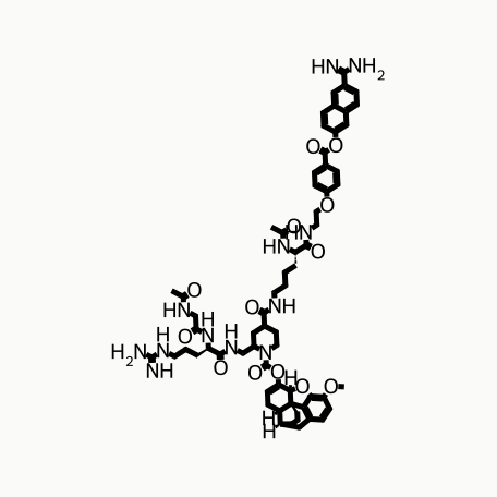 COc1ccc2c3c1O[C@H]1C(OC(=O)N4CCC(C(=O)NCCCC[C@H](NC(C)=O)C(=O)NCCOc5ccc(C(=O)Oc6ccc7cc(C(=N)N)ccc7c6)cc5)CC4CNC(=O)[C@@H](CCCNC(=N)N)NC(=O)CNC(C)=O)=CC[C@H]4[C@H](CCC[C@]314)C2